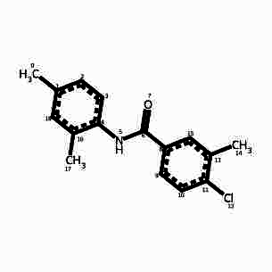 Cc1ccc(NC(=O)c2ccc(Cl)c(C)c2)c(C)c1